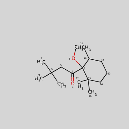 COC1(C(=O)CC(C)(C)C)C(C)CCCC1(C)C